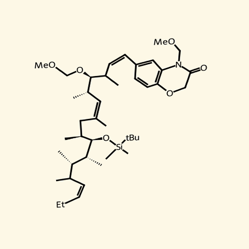 CC/C=C\C(C)[C@H](C)[C@@H](C)[C@H](O[Si](C)(C)C(C)(C)C)[C@@H](C)C/C(C)=C\[C@H](C)[C@@H](OCOC)C(C)/C=C\c1ccc2c(c1)N(COC)C(=O)CO2